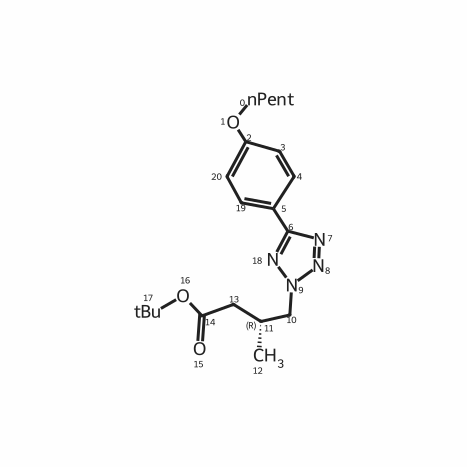 CCCCCOc1ccc(-c2nnn(C[C@H](C)CC(=O)OC(C)(C)C)n2)cc1